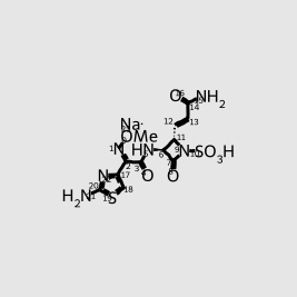 CON=C(C(=O)N[C@@H]1C(=O)N(S(=O)(=O)O)[C@H]1C=CC(N)=O)c1csc(N)n1.[Na]